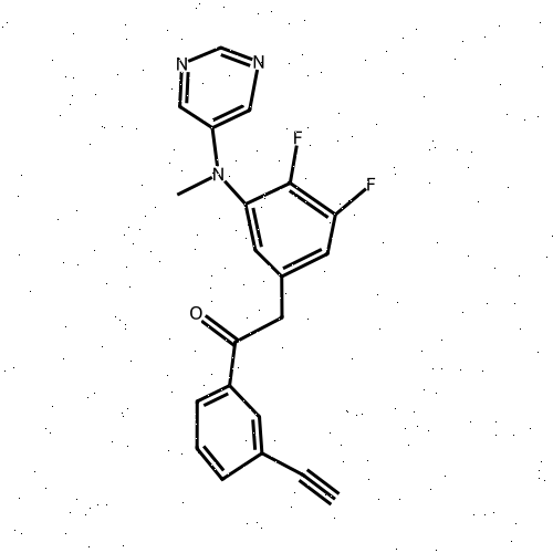 C#Cc1cccc(C(=O)Cc2cc(F)c(F)c(N(C)c3cncnc3)c2)c1